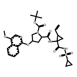 C=CC1CC1(NC(=O)C1CC(Oc2ncc(OC)c3ccccc23)CN1C(=O)OC(C)(C)C)C(=O)NS(=O)(=O)C1CC1